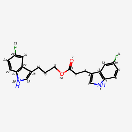 O=C(CCc1c[nH]c2ccc(F)cc12)OCCCc1c[nH]c2ccc(F)cc12